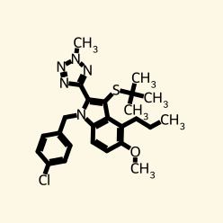 CCCc1c(OC)ccc2c1c(SC(C)(C)C)c(-c1nnn(C)n1)n2Cc1ccc(Cl)cc1